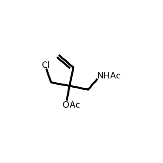 C=CC(CCl)(CNC(C)=O)OC(C)=O